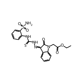 CCOC(=O)CN1C(=O)/C(=N\NC(=S)Nc2ccccc2S(N)(=O)=O)c2ccccc21